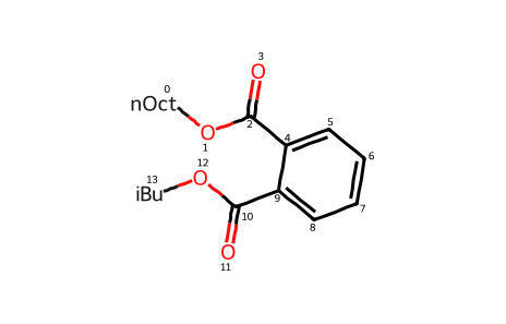 CCCCCCCCOC(=O)c1ccccc1C(=O)OC(C)CC